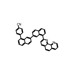 N#Cc1ccc(-c2cccc3ccc(-c4ccc5cccc(-c6ccc7ccc8cccnc8c7n6)c5c4)cc23)cc1